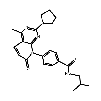 Cc1nc(N2CCCC2)nc2c1ccc(=O)n2-c1ccc(C(=O)NCC(C)C)cc1